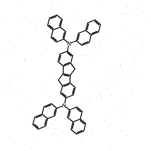 c1ccc2cc(N(c3ccc4c(c3)CC3=C4Cc4cc(N(c5ccc6ccccc6c5)c5ccc6ccccc6c5)ccc43)c3ccc4ccccc4c3)ccc2c1